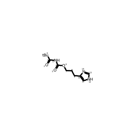 CC(C)(C)C(=O)NC(=O)OCCCc1c[nH]cn1